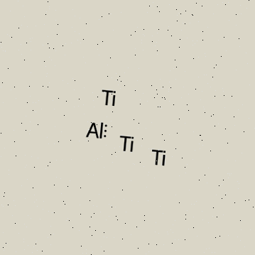 [Al].[Ti].[Ti].[Ti]